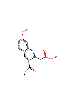 COC(=O)Cc1nc2cc(OC)ccc2cc1C(=O)OC